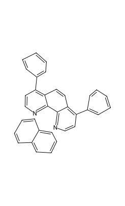 c1ccc(-c2ccnc3c2ccc2c(-c4ccccc4)ccnc23)cc1.c1ccc2ccccc2c1